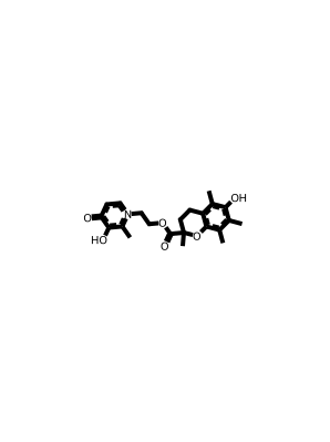 Cc1c(C)c2c(c(C)c1O)CCC(C)(C(=O)OCCn1ccc(=O)c(O)c1C)O2